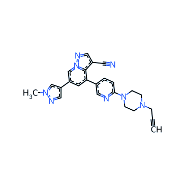 C#CCN1CCN(c2ccc(-c3cc(-c4cnn(C)c4)cn4ncc(C#N)c34)cn2)CC1